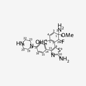 COC1(N)C=CC(C=O)=C(c2sc(N)nc2-c2ccc(N3CCNCC3)cc2)C1F